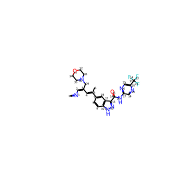 C=N/C=C(\C=C(/C)c1ccc2[nH]nc(C(=O)Nc3cnc(C(F)(F)F)cn3)c2c1)CN1CCOCC1